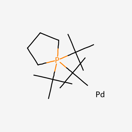 CC(C)(C)P1(C(C)(C)C)(C(C)(C)C)CCCC1.[Pd]